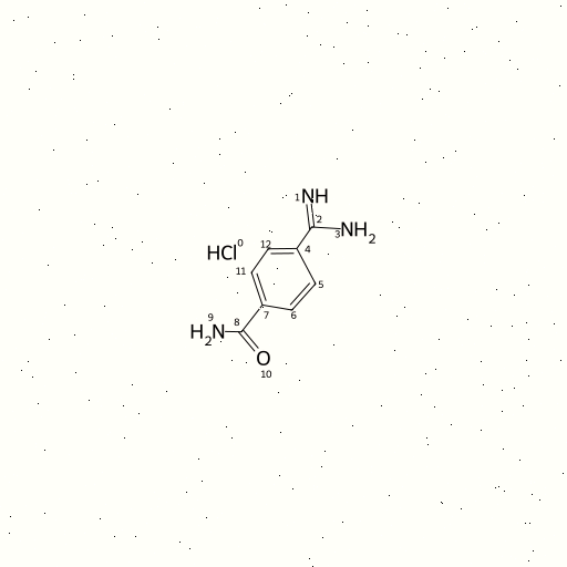 Cl.N=C(N)c1ccc(C(N)=O)cc1